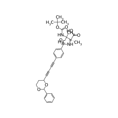 CC(C)(C)OC(=O)NC(C)(C)[C@](C)(NC(=O)c1ccc(C#CC#CC2CCOC(c3ccccc3)O2)cc1)C(=O)O